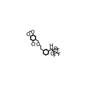 O=S(=O)(Nc1cccc(CCOCc2cc3c(cc2Cl)OCO3)c1)C(F)(F)F